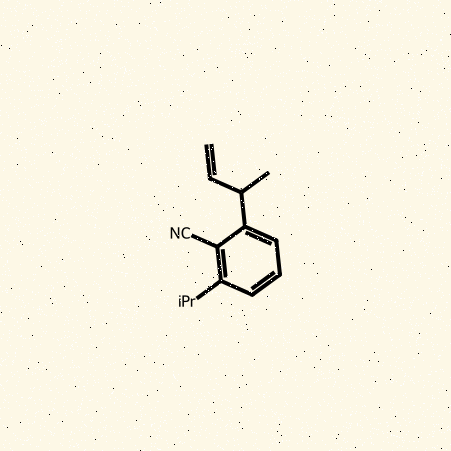 C=C[C](C)c1cccc(C(C)C)c1C#N